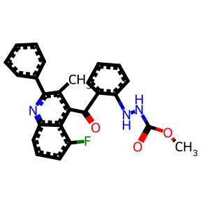 COC(=O)NNc1ccccc1C(=O)c1c(C)c(-c2ccccc2)nc2cccc(F)c12